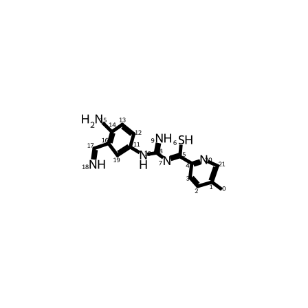 Cc1ccc(/C(S)=N/C(=N)Nc2ccc(N)c(C=N)c2)nc1